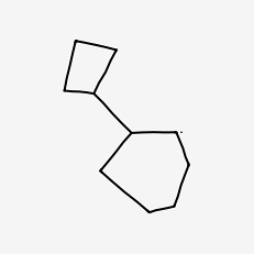 [CH]1CCCCC1C1CCC1